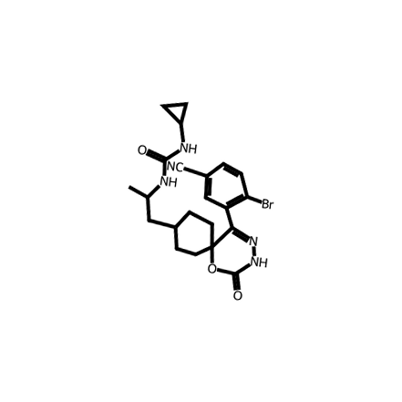 CC(CC1CCC2(CC1)OC(=O)NN=C2c1cc(C#N)ccc1Br)NC(=O)NC1CC1